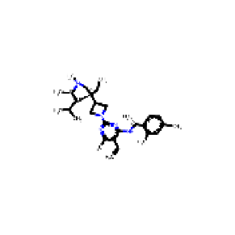 B[C@](CC)(CN(C)[C@H](C)CC(C)C)C1CN(c2nc(C)c(C=C)c(N[C@H](C)c3ccc(C)cc3C)n2)C1